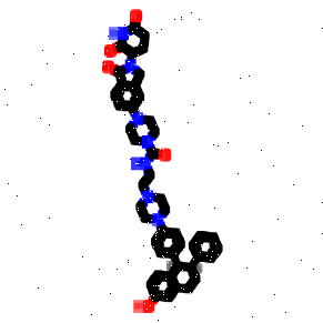 O=C1CCC(N2Cc3cc(N4CCN(C(=O)NCCN5CCN(c6ccc([C@@H]7c8ccc(O)cc8CC[C@@H]7c7ccccc7)cc6)CC5)CC4)ccc3C2=O)C(=O)N1